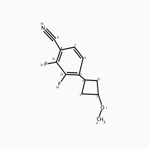 COC1CC(c2ccc(C#N)c(F)c2F)C1